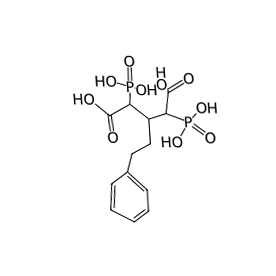 O=C(O)C(C(CCc1ccccc1)C(C(=O)O)P(=O)(O)O)P(=O)(O)O